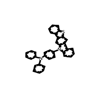 c1ccc(N(c2ccccc2)c2ccc(-n3c4ccccc4c4cc5sc6ccccc6c5cc43)cc2)cc1